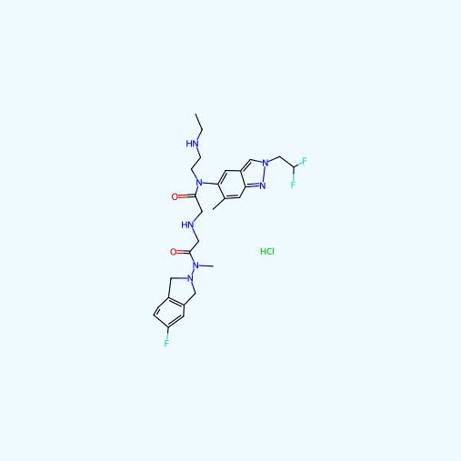 CCNCCN(C(=O)CNCC(=O)N(C)N1Cc2ccc(F)cc2C1)c1cc2cn(CC(F)F)nc2cc1C.Cl